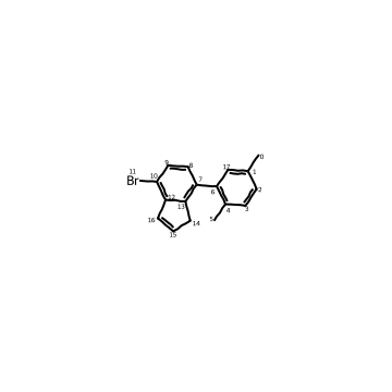 Cc1ccc(C)c(-c2ccc(Br)c3c2CC=C3)c1